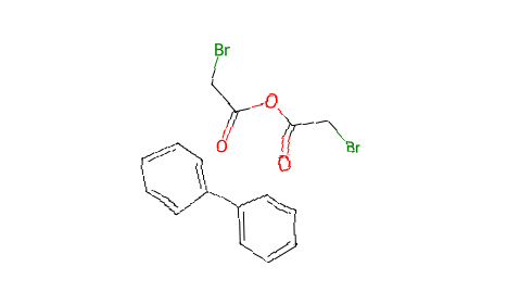 O=C(CBr)OC(=O)CBr.c1ccc(-c2ccccc2)cc1